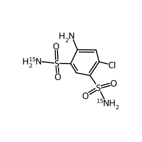 Nc1cc(Cl)c(S([15NH2])(=O)=O)cc1S([15NH2])(=O)=O